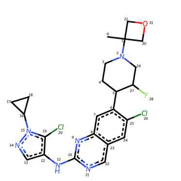 CC1(N2CCC(c3cc4nc(Nc5cnn(C6CC6)c5Cl)ncc4cc3Cl)C(F)C2)COC1